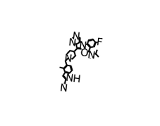 Cc1c(CN2CCC(c3cn(-c4ccc(F)cc4C(=O)N(C)C(C)C)c4cncnc34)CC2)ccc2[nH]c(C#N)cc12